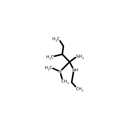 CCNC([SiH3])(C(C)CC)N(C)C